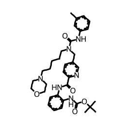 Cc1cccc(NC(=O)N(CCCCCN2CCOCC2)Cc2ccc(C(=O)Nc3ccccc3NC(=O)OC(C)(C)C)nc2)c1